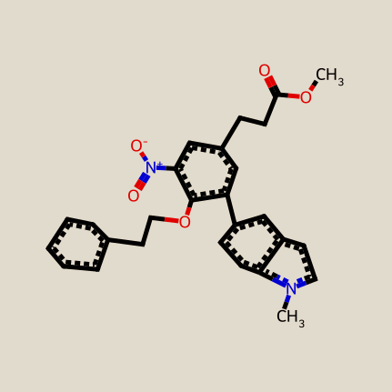 COC(=O)CCc1cc(-c2ccc3c(ccn3C)c2)c(OCCc2ccccc2)c([N+](=O)[O-])c1